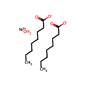 CCCCCCCC(=O)[O-].CCCCCCCC(=O)[O-].O.[Ni+2]